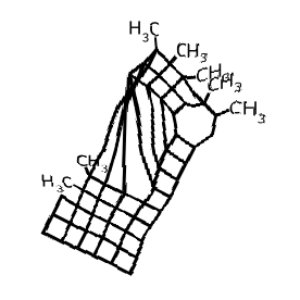 CC1CC2C3C4C5C1(C)C1(C)C6(C)C7(C)C8(C)C9(C)C%10%11CC%12CC%13C%14C%15C%16CC%17C%18C%19C%20C%21C%22C2C32C43C51C61C34C%222C%212C%203C%195C%186C%16%17C%15%16C%14(C%12%13%10)C%11%10C%166C56C9%10C85C71C24C356